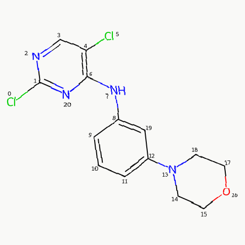 Clc1ncc(Cl)c(Nc2cccc(N3CCOCC3)c2)n1